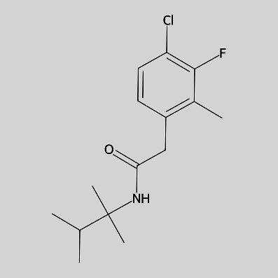 Cc1c(CC(=O)NC(C)(C)C(C)C)ccc(Cl)c1F